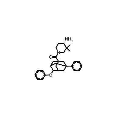 CC1(C)CN(C(=O)C23CC4CC(c5ccccc5)(CC(C2)C4Oc2ccccc2)C3)CC[C@@H]1N